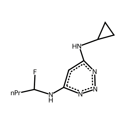 CCCC(F)Nc1cc(NC2CC2)nnn1